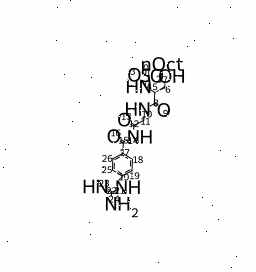 CCCCCCCCS(=O)(=O)N[C@@H](CO)C(=O)NCC(=O)NC(=O)c1ccc(NC(=N)N)cc1